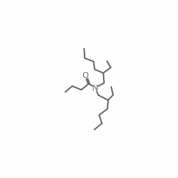 CCCCC(CC)CN(CC(CC)CCCC)C(=O)CCC